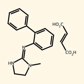 CN1CCN/C1=N/c1ccccc1-c1ccccc1.O=C(O)/C=C/C(=O)O